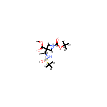 COC(=O)C1([C@H](C)N[S@+]([O-])C(C)(C)C)CN(C(=O)OC(C)(C)C)C1